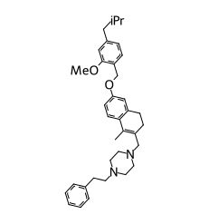 COc1cc(CC(C)C)ccc1COc1ccc2c(c1)CCC(CN1CCN(CCc3ccccc3)CC1)=C2C